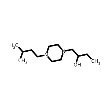 CCC(O)CN1CCN(CCC(C)C)CC1